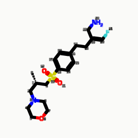 C[C@@H](CN1CCOCC1)CS(=O)(=O)c1ccc(CC/C(=C/F)CN)cc1